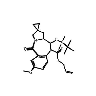 C=CCOC(=O)N1c2ccc(OC)cc2C(=O)N2CC3(CC3)CC2C1O[Si](C)(C)C(C)(C)C